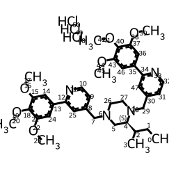 CCC(C)[C@H]1CN(Cc2ccnc(-c3cc(OC)c(OC)c(OC)c3)c2)CCN1Cc1ccnc(-c2cc(OC)c(OC)c(OC)c2)c1.Cl.Cl.Cl